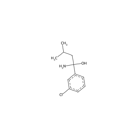 CC(C)CC(N)(O)c1cccc(Cl)c1